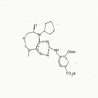 CC[C@@H]1COSN(C)c2cnc(Nc3ccc(C(=O)O)cc3OC)nc2N1C1CCCC1